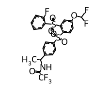 C[C@H](NC(=O)C(F)(F)F)c1ccc(S(=O)(=O)c2ccc(OC(F)F)cc2S(=O)(=O)c2ccccc2F)cc1